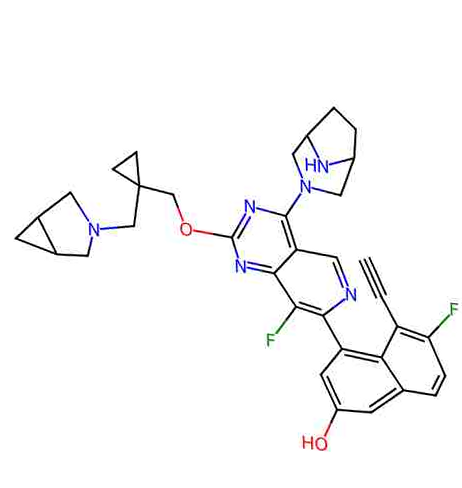 C#Cc1c(F)ccc2cc(O)cc(-c3ncc4c(N5CC6CCC(C5)N6)nc(OCC5(CN6CC7CC7C6)CC5)nc4c3F)c12